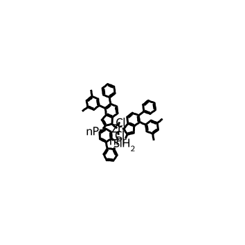 CCCC1=Cc2c(ccc(-c3ccccc3)c2-c2cc(C)cc(C)c2)[CH]1[Zr]([Cl])([Cl])([c]1cccc2c1[SiH2]c1ccccc1-2)[CH]1C(CCC)=Cc2c1ccc(-c1ccccc1)c2-c1cc(C)cc(C)c1